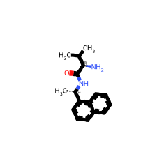 CC(C)[C@@H](N)C(=O)N[C@@H](C)c1cccc2ccccc12